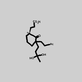 CC(=O)CCC1(CCC(C)(O)O)CCC[C@@H](CCC(=O)O)C1=O